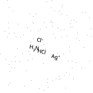 Cl.N.[Ag+].[Cl-]